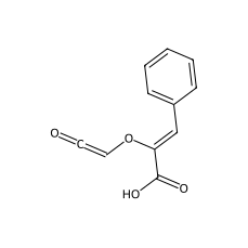 O=C=COC(=Cc1ccccc1)C(=O)O